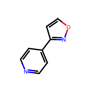 [c]1cc(-c2ccncc2)no1